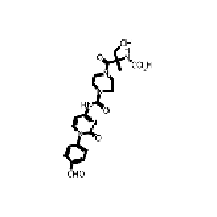 CC(CO)(NC(=O)O)C(=O)N1CCN(C(=O)Nc2ccn(-c3ccc(C=O)cc3)c(=O)n2)CC1